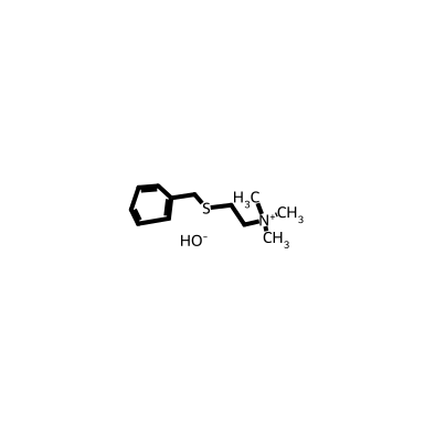 C[N+](C)(C)CCSCc1ccccc1.[OH-]